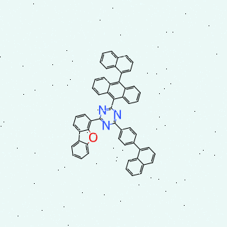 c1ccc2c(-c3ccc(-c4nc(-c5c6ccccc6c(-c6cccc7ccccc67)c6ccccc56)nc(-c5cccc6c5oc5ccccc56)n4)cc3)cccc2c1